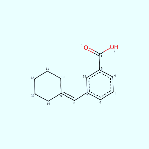 O=C(O)c1cccc(C=C2CCCCC2)c1